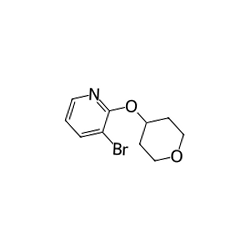 Brc1cccnc1OC1CCOCC1